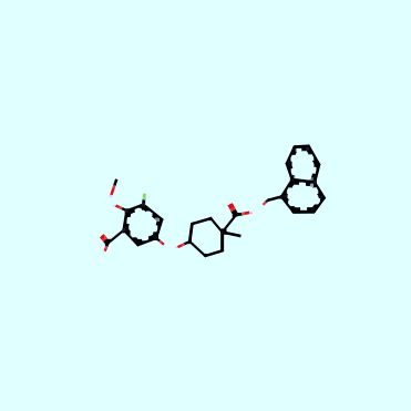 COc1c(F)cc(OC2CCC(C)(C(=O)OCc3cccc4ccccc34)CC2)cc1C(=O)O